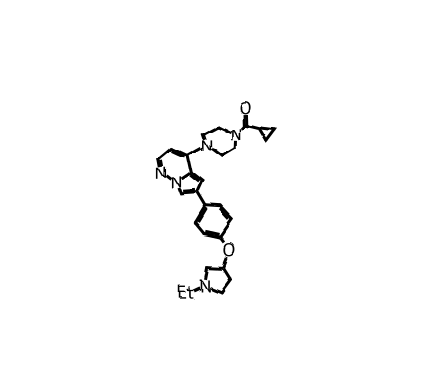 CCN1CCC(Oc2ccc(-c3cc4c(N5CCN(C(=O)C6CC6)CC5)ccnn4c3)cc2)C1